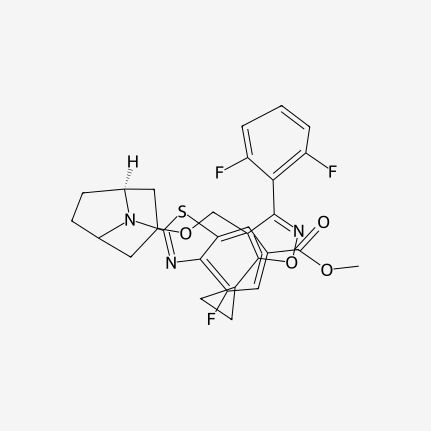 COC(=O)c1cc(F)c2nc(N3C4CC[C@H]3CC(OCc3c(-c5c(F)cccc5F)noc3C3CC3)C4)sc2c1